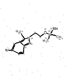 Cc1c2cc(Br)ccc2nn1CCO[Si](C)(C)C(C)(C)C